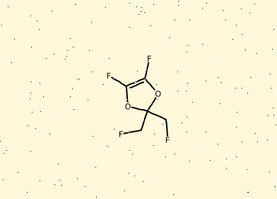 FCC1(CF)OC(F)=C(F)O1